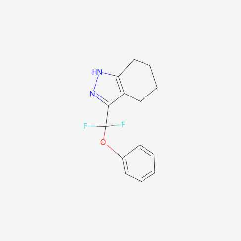 FC(F)(Oc1ccccc1)c1n[nH]c2c1CCCC2